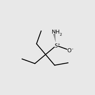 CCC(CC)(CC)[S@+](N)[O-]